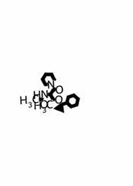 CC(=O)NC(C(=O)N1CCCCC1)C(C)OC1(C2CCCCC2)CC1